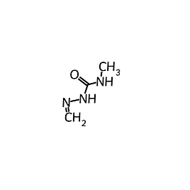 C=NNC(=O)NC